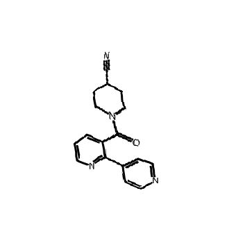 N#CC1CCN(C(=O)c2cccnc2-c2ccncc2)CC1